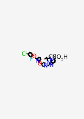 N#CCC1(Cn2c(CN3CCC(Oc4cccc(COc5ccc(Cl)cc5F)n4)CC3)nc3ccc(C(=O)O)nc32)CC1